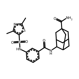 Cc1nc(C)c(S(=O)(=O)Nc2cccc(C(=O)NC3C4CC5CC3CC(C(N)=O)(C5)C4)c2)s1